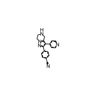 N#Cc1ccc(-c2nn3c(c2-c2ccncc2)CNCC3)cc1